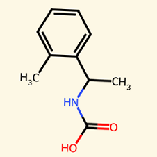 Cc1ccccc1C(C)NC(=O)O